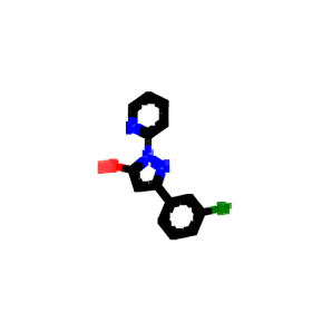 Oc1cc(-c2cccc(Br)c2)nn1-c1ccccn1